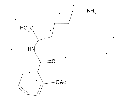 CC(=O)Oc1ccccc1C(=O)NC(CCCCN)C(=O)O